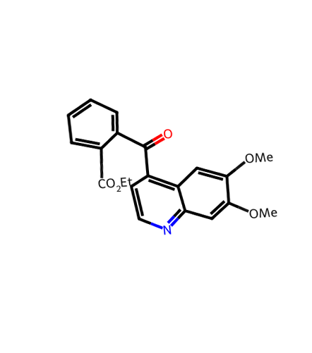 CCOC(=O)c1ccccc1C(=O)c1ccnc2cc(OC)c(OC)cc12